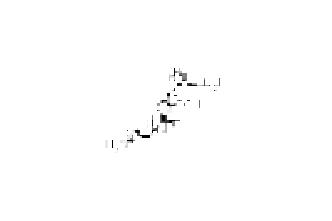 Nc1nc(C(=O)C(=O)NC2C(=O)N3C(C(=O)O)=C(CSc4nnnn4CC(=O)O)CS[C@@H]23)cs1